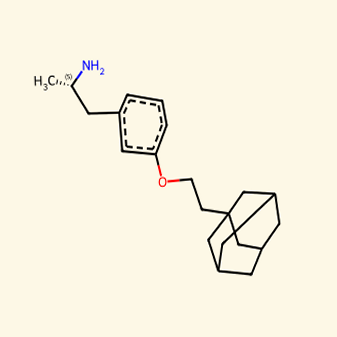 C[C@H](N)Cc1cccc(OCCC23CC4CC(CC(C4)C2)C3)c1